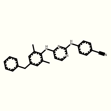 Cc1cc(Cc2ccccc2)cc(C)c1Nc1ccnc(Nc2ccc(C#N)cc2)n1